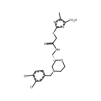 Cc1nc(SCC(=O)NC[C@H]2CN(Cc3ccc(Cl)c(Cl)c3)CCO2)sc1C(=O)O